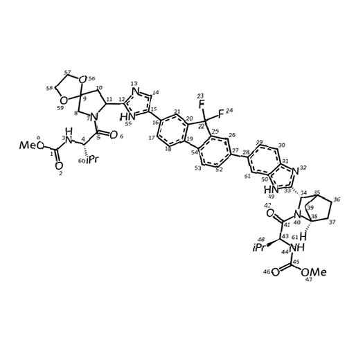 COC(=O)N[C@H](C(=O)N1CC2(CC1c1ncc(-c3ccc4c(c3)C(F)(F)c3cc(-c5ccc6nc([C@@H]7C8CC[C@H](C8)N7C(=O)[C@@H](NC(=O)OC)C(C)C)[nH]c6c5)ccc3-4)[nH]1)OCCO2)C(C)C